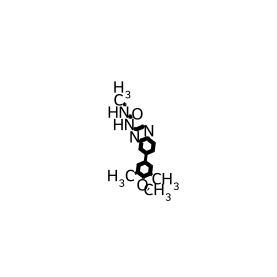 CCNC(=O)Nc1cnc2ccc(-c3cc(C)c(OC)c(C)c3)cc2n1